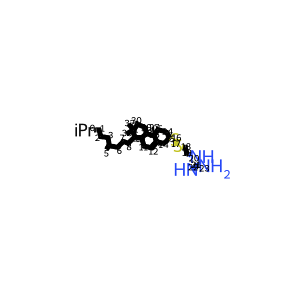 CC(C)CCCC(C)CCCC1C2CC=C3CC(SSCCNC(=N)N)CC[C@@]3(C)C2CCC1(C)C